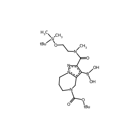 CN(CCO[Si](C)(C)C(C)(C)C)C(=O)c1nn2c(c1B(O)O)CN(C(=O)OC(C)(C)C)CCC2